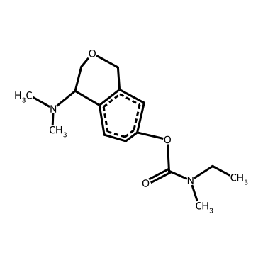 CCN(C)C(=O)Oc1ccc2c(c1)COCC2N(C)C